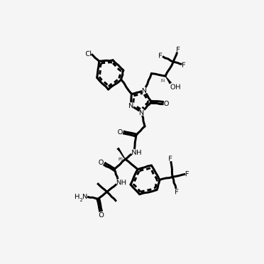 CC(C)(NC(=O)[C@](C)(NC(=O)Cn1nc(-c2ccc(Cl)cc2)n(C[C@H](O)C(F)(F)F)c1=O)c1cccc(C(F)(F)F)c1)C(N)=O